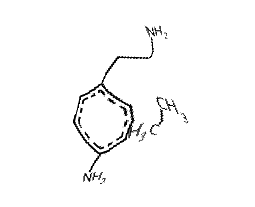 CC.NCCc1ccc(N)cc1